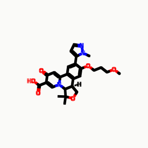 COCCCOc1cc2c(cc1-c1ccnn1C)-c1cc(=O)c(C(=O)O)cn1C1[C@@H]2COC1(C)C